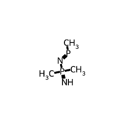 C/P=N/P(C)(C)=N